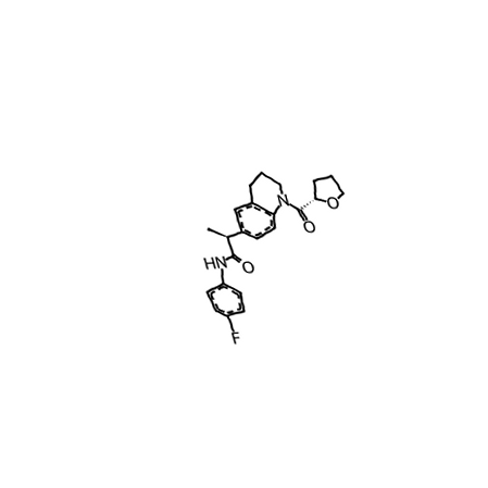 C[C@H](C(=O)Nc1ccc(F)cc1)c1ccc2c(c1)CCCN2C(=O)[C@@H]1CCCO1